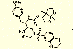 COc1ccc(C[C@H](NC(=O)O[C@H]2CO[C@H]3OCC[C@H]32)[C@H](N)CN(CC(C)C)S(=O)(=O)c2ccc3c(c2)NCCO3)cc1